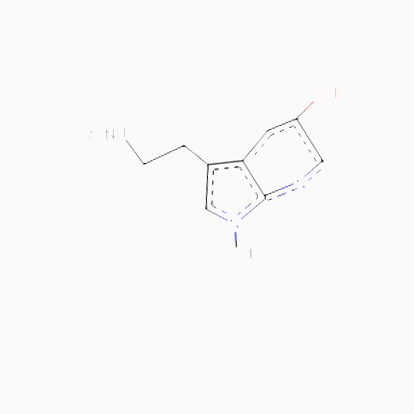 CC(=O)NCCc1cn(C)c2ncc(O)cc12